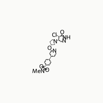 CNS(=O)(=O)c1ccc(-c2ccnc(O[C@@H]3CCN(c4cn[nH]c(=O)c4Cl)C3)c2)cc1